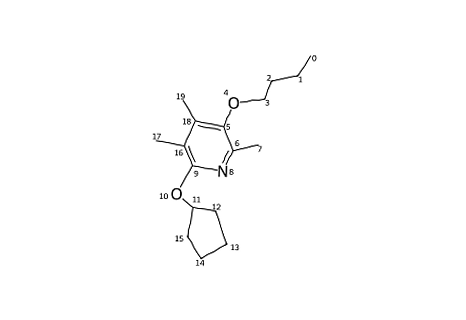 CCCCOc1c(C)nc(OC2CCCC2)c(C)c1C